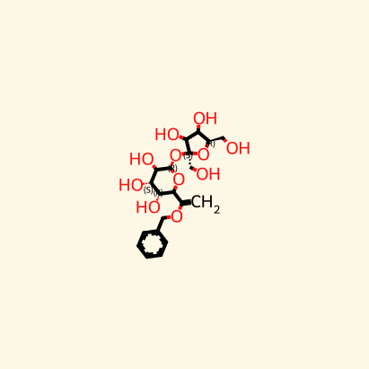 C=C(OCc1ccccc1)C1O[C@H](O[C@]2(CO)O[C@H](CO)C(O)C2O)C(O)[C@@H](O)[C@H]1O